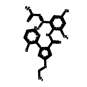 Cc1cc(C#N)cc(/S(C)=N/C(=O)C(F)(F)F)c1NC(=O)c1cc(OCC(F)(F)F)nn1-c1ncccc1Cl